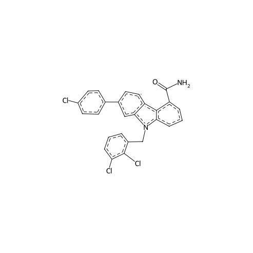 NC(=O)c1cccc2c1c1[c]cc(-c3ccc(Cl)cc3)cc1n2Cc1cccc(Cl)c1Cl